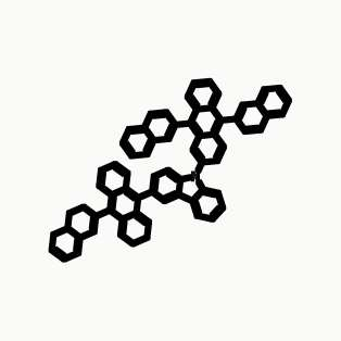 C1=CCC2CCC(c3c4c(c(-c5ccc6c(c5)c5ccccc5n6-c5ccc6c(-c7ccc8ccccc8c7)c7ccccc7c(-c7ccc8ccccc8c7)c6c5)c5ccccc35)=CCCC=4)=CC2=C1